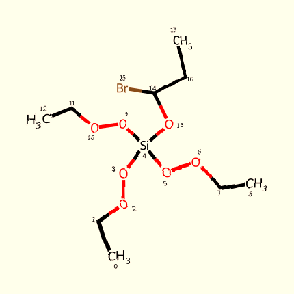 CCOO[Si](OOCC)(OOCC)OC(Br)CC